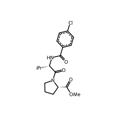 COC(=O)[C@@H]1CCCN1C(=O)[C@@H](NC(=O)c1ccc(Cl)cc1)C(C)C